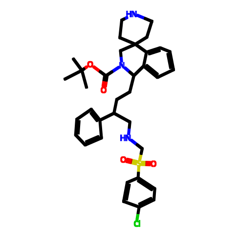 CC(C)(C)OC(=O)N1CC2(CCNCC2)c2ccccc2C1CCC(CNCS(=O)(=O)c1ccc(Cl)cc1)c1ccccc1